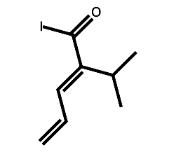 C=C/C=C(/C(=O)I)C(C)C